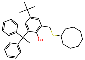 CC(C)(C)c1cc(CSC2CCCCCCC2)c(O)c(C(C)(c2ccccc2)c2ccccc2)c1